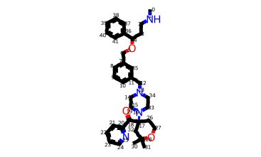 CNCCC(OCc1cccc(CN2CCN([C@@]3(C(=O)c4ccccn4)CCOC(C)(C)C3)CC2)c1)c1ccccc1